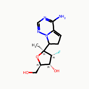 C[C@@]1(C2CC=C3C(N)=NC=NN32)O[C@H](CO)[C@@H](O)[C@H]1F